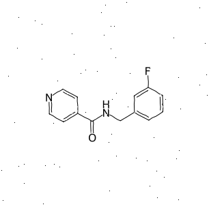 O=C(NCc1cccc(F)c1)c1ccncc1